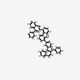 c1ccc(-c2nc(-c3cccc4oc5c(-c6ccc7c(c6)c6c8ccccc8ccc6n7-c6ccccc6)cccc5c34)nc3ccccc23)cc1